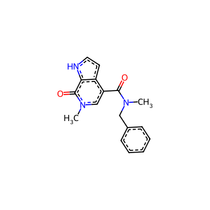 CN(Cc1ccccc1)C(=O)c1cn(C)c(=O)c2[nH]ccc12